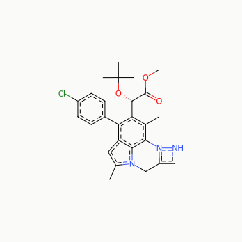 COC(=O)[C@@H](OC(C)(C)C)c1c(C)c2c3c(cc(C)n3Cc3c[nH]n3-2)c1-c1ccc(Cl)cc1